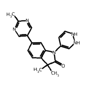 Cc1ncc(-c2ccc3c(c2)N(C2=CNNC=C2)C(=O)C3(C)C)cn1